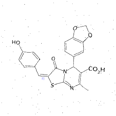 CC1=C(C(=O)O)C(c2ccc3c(c2)OCO3)n2c(s/c(=C/c3ccc(O)cc3)c2=O)=N1